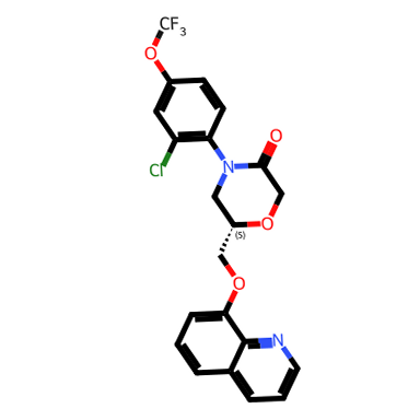 O=C1CO[C@H](COc2cccc3cccnc23)CN1c1ccc(OC(F)(F)F)cc1Cl